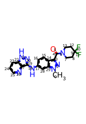 Cn1nc(C(=O)N2CCC(F)(F)CC2)c2ccc(Nc3n[nH]c4cccnc34)cc21